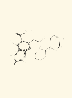 NC(=O)c1c(C[C](C=O)N2CCCCC2C2CCNCC2)cc2oc(=O)[nH]c2c1Br